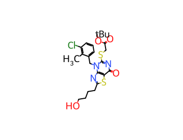 Cc1c(Cl)cccc1Cn1c(SCC(=O)OC(C)(C)C)nc(=O)c2sc(CCCCO)nc21